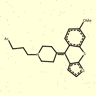 COc1ccc2c(c1)Sc1sccc1C2=C1CCN(CCCC(C)=O)CC1